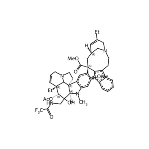 CCC1=C[C@@H]2CN(CCc3c([nH]c4ccccc34)[C@@](C(=O)OC)(c3cc4c(cc3OC)N(C)[C@H]3C(O)(CNC(=O)C(F)(F)F)[C@H](OC(C)=O)[C@]5(CC)C=CCN6CC[C@]43C65)C2)C1